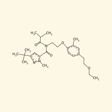 CCOCCc1ccc(OCCN(C(=O)c2cc(C(C)(C)C)nn2C)C(=O)C(C)C)c(C)c1